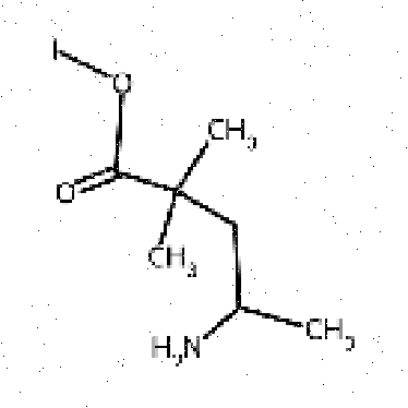 CC(N)CC(C)(C)C(=O)OI